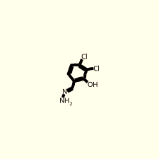 NN=Cc1ccc(Cl)c(Cl)c1O